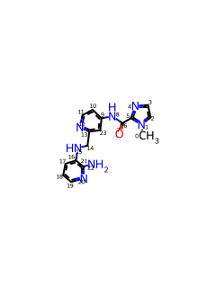 Cn1ccnc1C(=O)Nc1ccnc(CNc2cccnc2N)c1